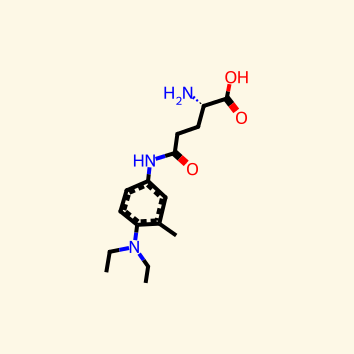 CCN(CC)c1ccc(NC(=O)CC[C@H](N)C(=O)O)cc1C